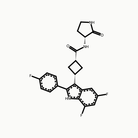 O=C1NCC[C@H]1NC(=O)[C@H]1C[C@@H](c2c(-c3ccc(F)cc3)[nH]c3c(F)cc(F)cc32)C1